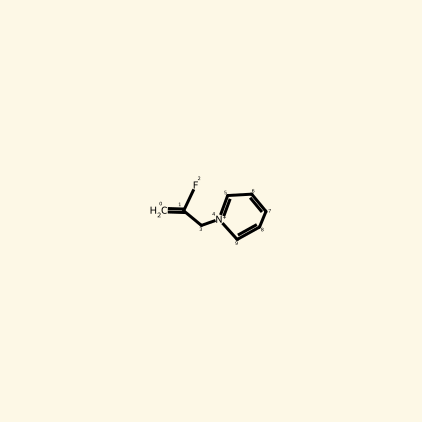 C=C(F)C[n+]1ccccc1